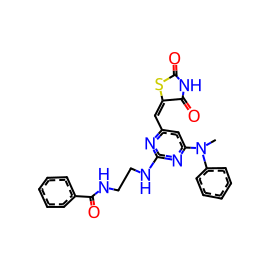 CN(c1ccccc1)c1cc(C=C2SC(=O)NC2=O)nc(NCCNC(=O)c2ccccc2)n1